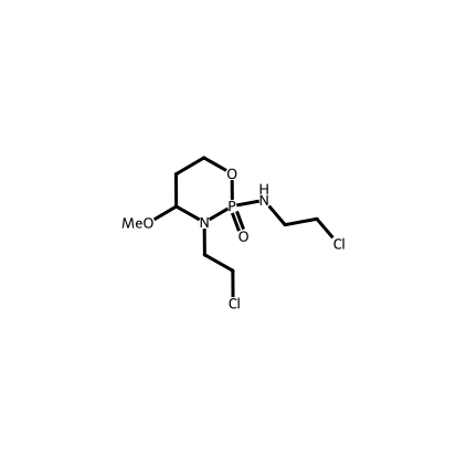 COC1CCOP(=O)(NCCCl)N1CCCl